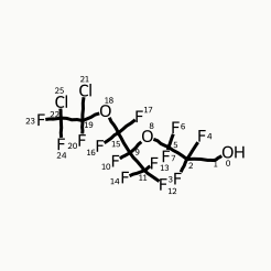 OCC(F)(F)C(F)(F)OC(F)(C(F)(F)F)C(F)(F)OC(F)(Cl)C(F)(F)Cl